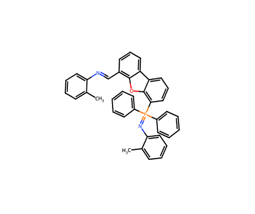 Cc1ccccc1N=P(c1ccccc1)(c1ccccc1)c1cccc2c1oc1c(/C=N/c3ccccc3C)cccc12